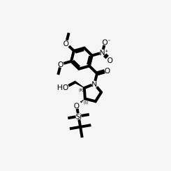 COc1cc(C(=O)N2CC[C@H](O[Si](C)(C)C(C)(C)C)[C@H]2CO)c([N+](=O)[O-])cc1OC